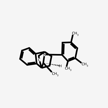 Cc1cc(C)c(C)c(N2[C@@H](C)C34CCC2(CC3)c2ccccc24)c1